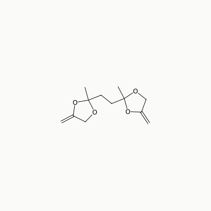 C=C1COC(C)(CCC2(C)OCC(=C)O2)O1